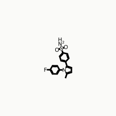 Cc1ccc(-c2ccc(S(N)(=O)=O)cc2)n1-c1ccc(F)cc1